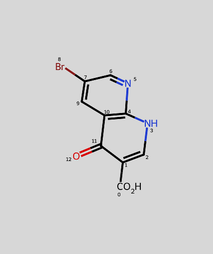 O=C(O)c1c[nH]c2ncc(Br)cc2c1=O